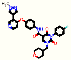 Cn1cc(-c2cnccc2Oc2ccc(NC(=O)c3cn(CC4CCOCC4)c(=O)n(-c4ccc(F)cc4)c3=O)cc2)cn1